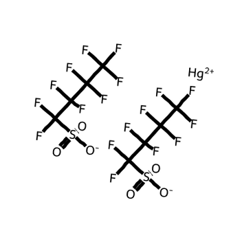 O=S(=O)([O-])C(F)(F)C(F)(F)C(F)(F)C(F)(F)F.O=S(=O)([O-])C(F)(F)C(F)(F)C(F)(F)C(F)(F)F.[Hg+2]